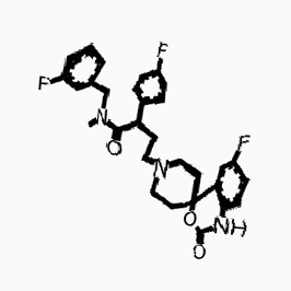 CN(Cc1cccc(F)c1)C(=O)C(CCN1CCC2(CC1)OC(=O)Nc1ccc(F)cc12)c1ccc(F)cc1